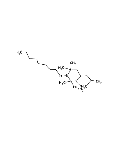 CCCCCCCCON1C(C)(C)CC(CC(C)C)C(N)C1(C)C